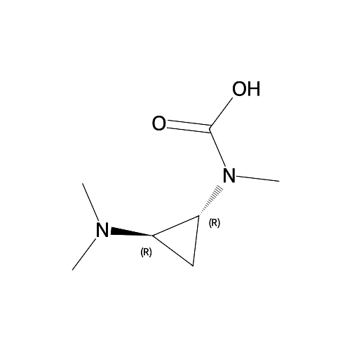 CN(C)[C@@H]1C[C@H]1N(C)C(=O)O